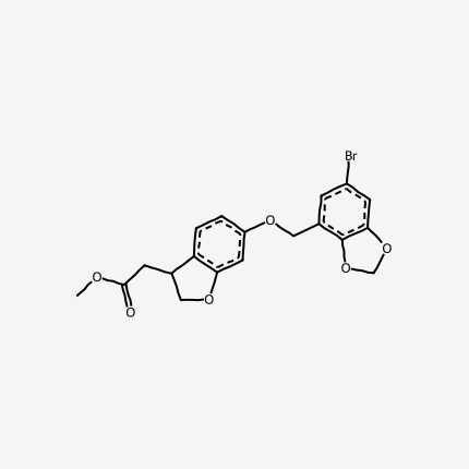 COC(=O)CC1COc2cc(OCc3cc(Br)cc4c3OCO4)ccc21